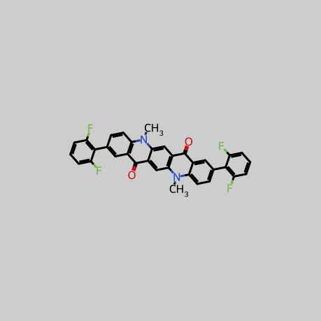 Cn1c2ccc(-c3c(F)cccc3F)cc2c(=O)c2cc3c(cc21)c(=O)c1cc(-c2c(F)cccc2F)ccc1n3C